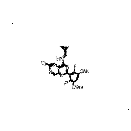 COc1cc(OC)c(F)c(-c2nc(NCC3CC3)c3cc(Cl)ncc3n2)c1F